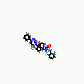 O=C(NCc1c(F)cccc1F)N1CC[C@@](O)(Cn2cnc(-c3ccccc3)cc2=O)C2(CCCC2)C1